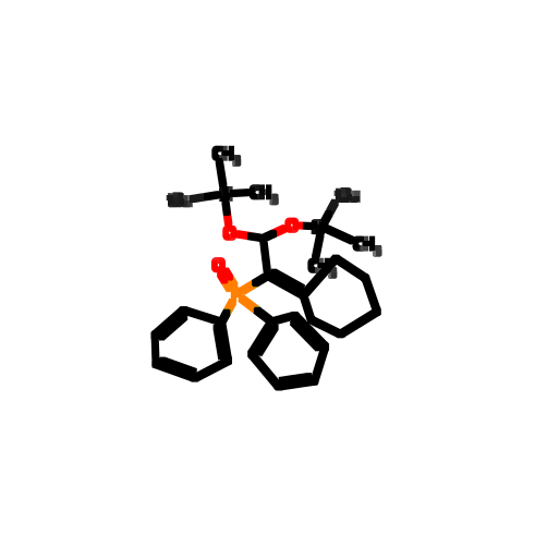 CC(C)(C)[Si](C)(C)OC(O[Si](C)(C)C(C)(C)C)C(=C1CCCCC1)P(=O)(c1ccccc1)c1ccccc1